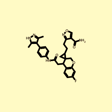 Cc1n[nH]c(C)c1-c1ccc(NC(=O)CC2c3ccc(F)cc3OCC23CC3CCc2nocc2C(N)=O)cc1